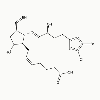 B=C[C@@H]1CC(O)[C@H](C/C=C\CCCC(=O)O)[C@H]1/C=C/[C@@H](O)CCc1cc(Br)c(Cl)s1